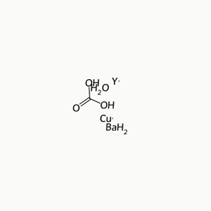 O.O=C(O)O.[BaH2].[Cu].[Y]